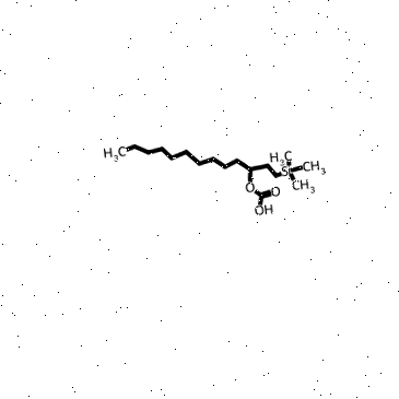 CCCCCCCCCCC(CC[Si](C)(C)C)OC(=O)O